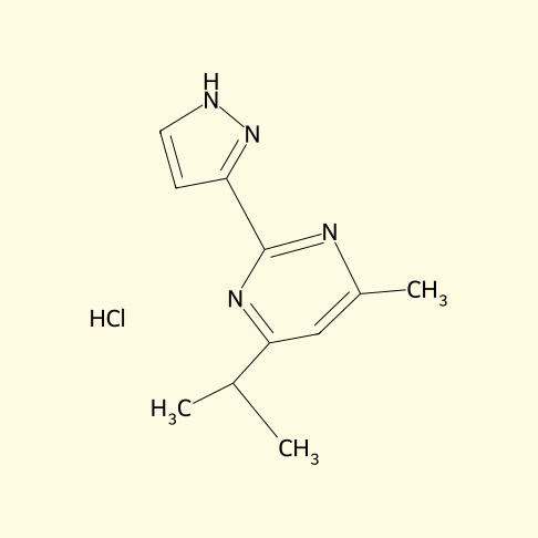 Cc1cc(C(C)C)nc(-c2cc[nH]n2)n1.Cl